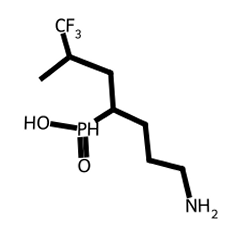 CC(CC(CCCN)[PH](=O)O)C(F)(F)F